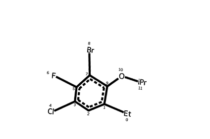 [CH2]Cc1cc(Cl)c(F)c(Br)c1OC(C)C